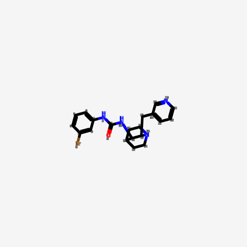 O=C(Nc1cccc(Br)c1)NC1C2CCN(CC2)C1Cc1cccnc1